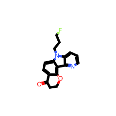 O=C1CCOc2c1ccc1c2c2ncccc2n1CCCF